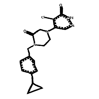 O=C1CN(c2cn[nH]c(=O)c2Cl)CCN1Cc1ccc(C2CC2)cc1